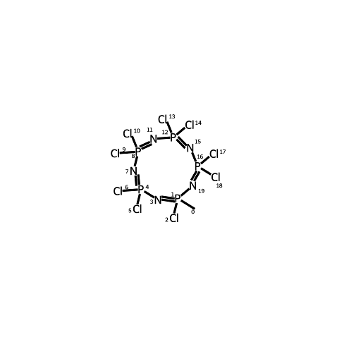 CP1(Cl)=NP(Cl)(Cl)=NP(Cl)(Cl)=NP(Cl)(Cl)=NP(Cl)(Cl)=N1